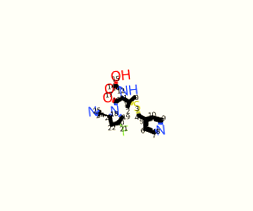 CC(C)(SCc1ccncc1)[C@H](NC(=O)O)C(=O)N1C[C@@H](F)C[C@H]1C#N